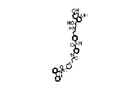 CN(C(=O)CCN1CCC(OC(=O)Nc2ccccc2-c2ccccc2)CC1)c1cccc(C(=O)Nc2ccc(CCNC[C@H](O)c3ccc(O)c4[nH]c(=O)ccc34)cc2)c1